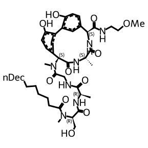 CCCCCCCCCCCCCCCC(=O)N(C)[C@H](CO)C(=O)N[C@H](C)C(=O)NCC(=O)N(C)[C@@H]1C(=O)N[C@@H](C)C(=O)N[C@H](C(=O)NCCOC)c2ccc(O)c(c2)-c2cc1ccc2O